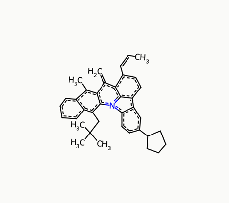 C=c1c2c(C)c3ccccc3c(CC(C)(C)C)c2n2c3ccc(C4CCCC4)cc3c3ccc(/C=C\C)c1c32